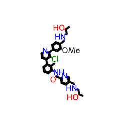 COc1cc(-c2nccc(-c3cccc(NC(=O)c4ccc(CNCC(C)O)cn4)c3C)c2Cl)ccc1CNCC(C)O